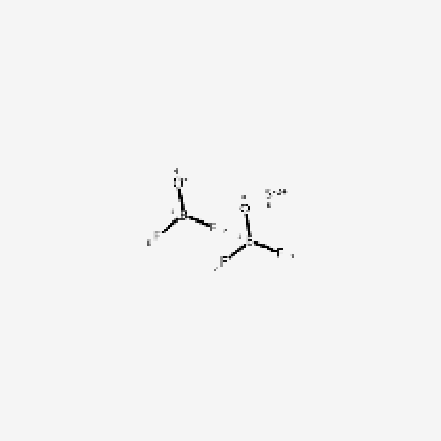 [O-]B(F)F.[O-]B(F)F.[Sr+2]